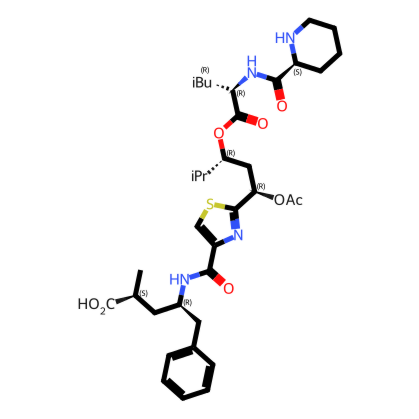 CC[C@@H](C)[C@@H](NC(=O)[C@@H]1CCCCN1)C(=O)O[C@H](C[C@@H](OC(C)=O)c1nc(C(=O)N[C@@H](Cc2ccccc2)C[C@H](C)C(=O)O)cs1)C(C)C